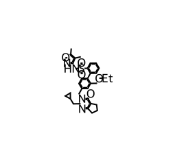 CCOCc1cc(Cn2c(CC3CC3)nc3c(c2=O)CCC3)ccc1-c1ccccc1S(=O)(=O)Nc1noc(C)c1C